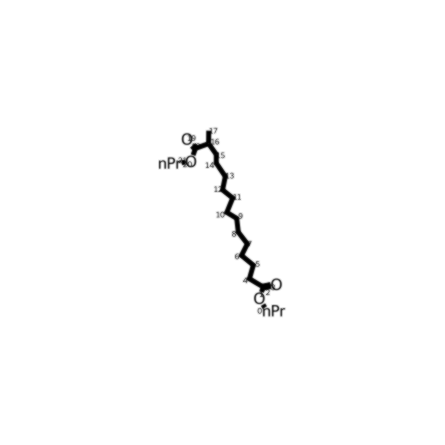 CCCOC(=O)CCCCCCCCCCCCC(C)C(=O)OCCC